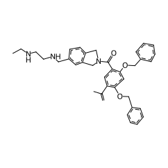 C=C(C)c1cc(C(=O)N2Cc3ccc(CNCCNCC)cc3C2)c(OCc2ccccc2)cc1OCc1ccccc1